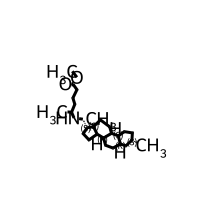 COC(=O)CCCC(C)NC[C@H]1CCC2[C@@H]3CC[C@@H]4C[C@@H](C)CC[C@@H]4C3CC[C@@]21C